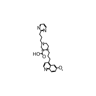 COc1ccc2nccc(CCC[C@@H]3CCN(CCCc4ncccn4)C[C@@H]3C(=O)O)c2c1